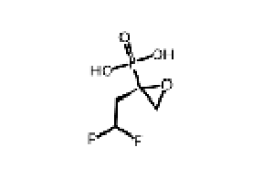 O=P(O)(O)[C@@]1(CC(F)F)CO1